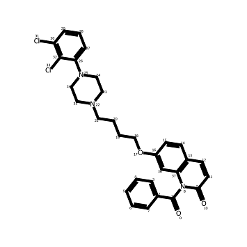 O=C(c1ccccc1)n1c(=O)ccc2ccc(OCCCCN3CCN(c4cccc(Cl)c4Cl)CC3)cc21